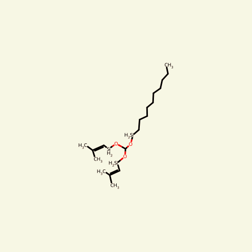 CCCCCCCCCC[SiH2]OC(O[SiH2]C=C(C)C)O[SiH2]C=C(C)C